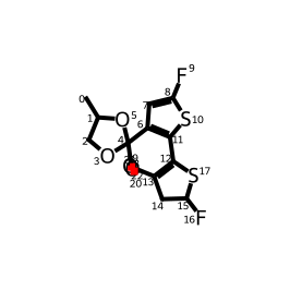 CC1COC2(O1)c1cc(F)sc1C1=C(CC(F)S1)C21OCCO1